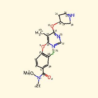 CCN(OC)C(=O)c1ccc(Oc2ncnc(OC3CCNCC3)c2C)c(F)c1